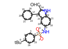 CC(C)(C)c1ccc(S(=O)(=O)Nc2ccc3[nH]c(C=O)c(-c4ccccc4)c3c2)cc1